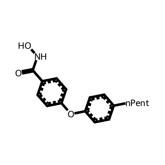 CCCCCc1ccc(Oc2ccc(C(=O)NO)cc2)cc1